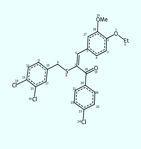 CCOc1ccc(/C=C(/SCc2ccc(Cl)c(Cl)c2)C(=O)c2ccc(Cl)cc2)cc1OC